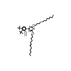 CCCCCCCCCCCCOc1nc(OCCCCCCCCCCCC)nc(-c2ccc(C(C)(C)C)c(C(C)(C)C)c2O)n1